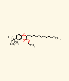 CCCCCCCCCCCCC(Oc1ccc(C(C)(C)CC)cc1)C(=O)OCC